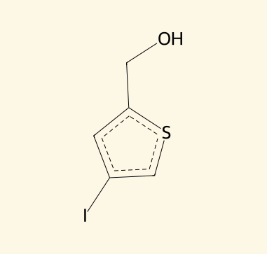 OCc1cc(I)cs1